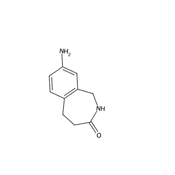 Nc1ccc2c(c1)CNC(=O)CC2